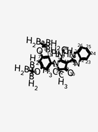 BC(B)(B)Oc1cc(OC(B)(B)B)cc(N2C(NC)=C(c3nc4ccccc4[nH]3)C(=O)C2(C)C)c1